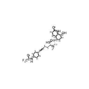 CN(CCCC#Cc1ccc(NC(=O)C(F)(F)F)cc1)C[C@H](OS)c1ccc(O)c2[nH]c(=O)ccc12